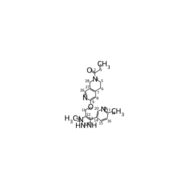 CCC(=O)N1CCc2cc(OCC3=C(c4ccc(C)nc4)NNN3C)ncc2C1